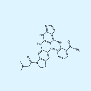 COc1cc2c(cc1Nc1nc(Nc3ccccc3C(N)=O)c3ccnc-3[nH]1)N(C(=O)CN(C)C)CC2